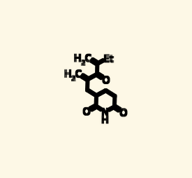 C=C(CC)C(=O)C(=C)CC1CCC(=O)NC1=O